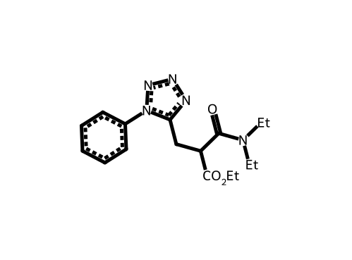 CCOC(=O)C(Cc1nnnn1-c1ccccc1)C(=O)N(CC)CC